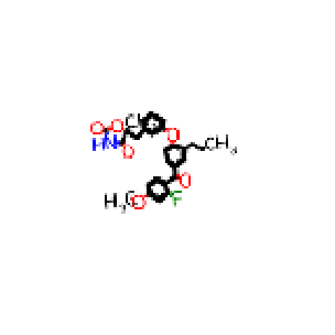 CCCc1cc(C(=O)c2ccc(OC)cc2F)ccc1Oc1cccc(C[C@@]2(C)OC(=O)NC2=O)c1